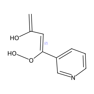 C=C(O)/C=C(\OO)c1cccnc1